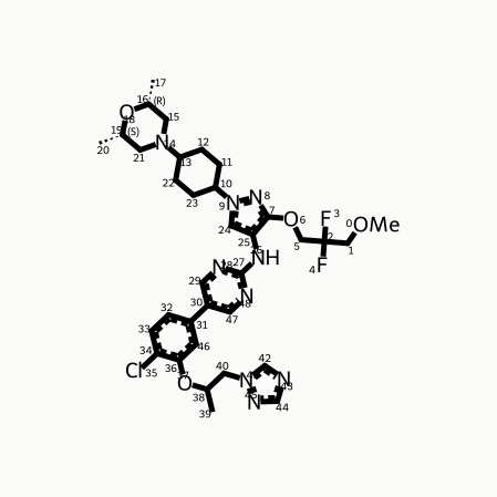 COCC(F)(F)COc1nn(C2CCC(N3C[C@@H](C)O[C@@H](C)C3)CC2)cc1Nc1ncc(-c2ccc(Cl)c(OC(C)Cn3cncn3)c2)cn1